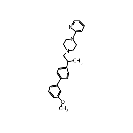 COc1cccc(-c2ccc(C(C)CN3CCN(c4ccccn4)CC3)cc2)c1